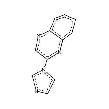 c1ccc2nc(-n3ccnc3)cnc2c1